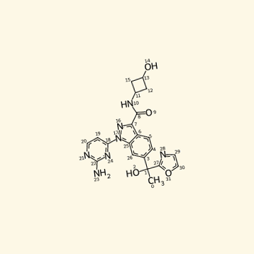 CC(O)(c1ccc2c(C(=O)NC3CC(O)C3)nn(-c3ccnc(N)n3)c2c1)c1ncco1